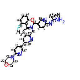 CN/C(N)=N\c1ccc(C(=O)N(Cc2ccc(-c3ccc(N4CCOCC4)nc3)cn2)[C@H](C)c2ccccc2F)cn1